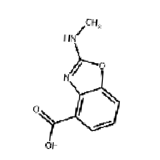 CNc1nc2c(C(=O)O)cccc2o1